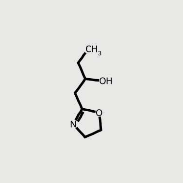 CCC(O)CC1=NCCO1